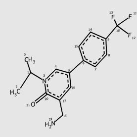 CC(C)n1cc(-c2ccc(C(F)(F)F)cc2)cc(CN)c1=O